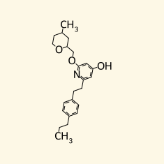 CCCc1ccc(CCc2cc(O)cc(OCC3CC(C)CCO3)n2)cc1